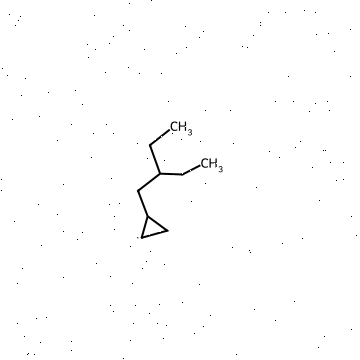 CCC(CC)CC1[CH]C1